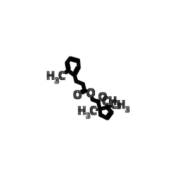 Cc1ccccc1CCC(=O)OCC(=O)[C@@]1(C)CC=CC1(C)C